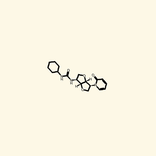 O=C(NC1CCCCC1)N[C@H]1CO[C@H]2[C@@H]1OC[C@@H]2n1ccccc1=O